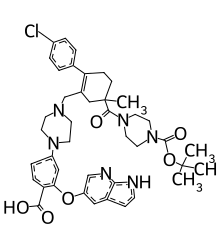 CC(C)(C)OC(=O)N1CCN(C(=O)C2(C)CCC(c3ccc(Cl)cc3)=C(CN3CCN(c4ccc(C(=O)O)c(Oc5cnc6[nH]ccc6c5)c4)CC3)C2)CC1